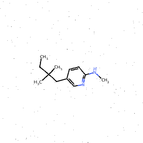 CCC(C)(C)Cc1ccc(NC)nc1